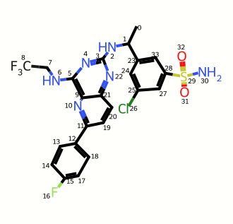 CC(Nc1nc(NCC(F)(F)F)c2nc(-c3ccc(F)cc3)ccc2n1)c1cc(Cl)cc(S(N)(=O)=O)c1